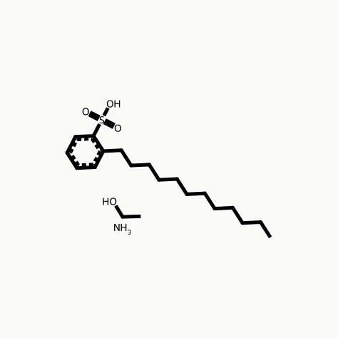 CCCCCCCCCCCCc1ccccc1S(=O)(=O)O.CCO.N